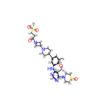 Cc1cc(C2CCN(C3CN(C(=O)CCS(C)(=O)=O)C3)CC2)cc2c1OCc1c(ncnc1N1CC[S+]([O-])CC1)N2